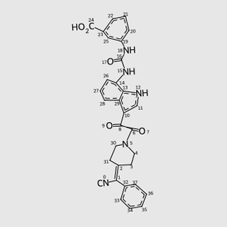 [C-]#[N+]C(=C1CCN(C(=O)C(=O)c2c[nH]c3c(NC(=O)Nc4cccc(C(=O)O)c4)cccc23)CC1)c1ccccc1